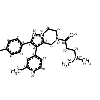 Cc1cc(-c2c(-c3ccc(F)cc3)nn3c2CN(C(=O)CCN(C)C)CC3)ccn1